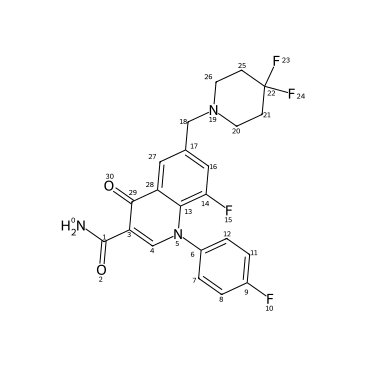 NC(=O)c1cn(-c2ccc(F)cc2)c2c(F)cc(CN3CCC(F)(F)CC3)cc2c1=O